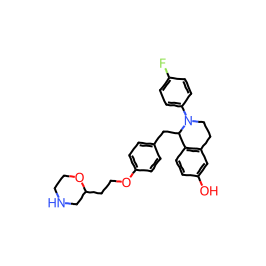 Oc1ccc2c(c1)CCN(c1ccc(F)cc1)C2Cc1ccc(OCCC2CNCCO2)cc1